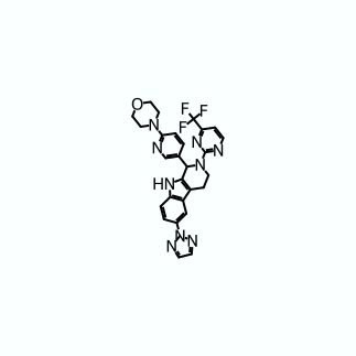 FC(F)(F)c1ccnc(N2CCc3c([nH]c4ccc(-n5nccn5)cc34)C2c2ccc(N3CCOCC3)nc2)n1